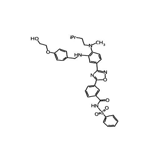 CC(C)CCN(C)c1ccc(-c2noc(-c3cccc(C(=O)NS(=O)(=O)c4ccccc4)c3)n2)cc1NCc1ccc(OCCO)cc1